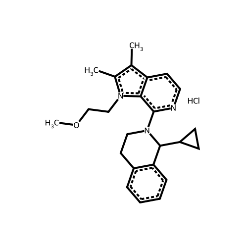 COCCn1c(C)c(C)c2ccnc(N3CCc4ccccc4C3C3CC3)c21.Cl